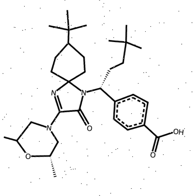 CC1CN(C2=NC3(CCC(C(C)(C)C)CC3)N([C@H](CCC(C)(C)C)c3ccc(C(=O)O)cc3)C2=O)C[C@H](C)O1